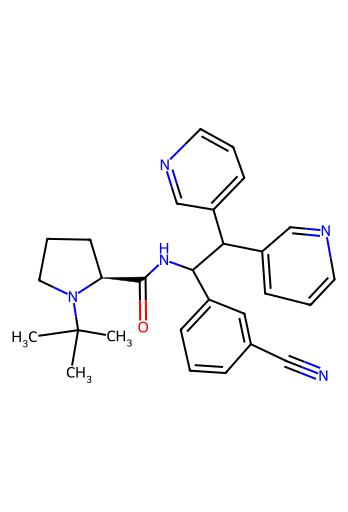 CC(C)(C)N1CCC[C@H]1C(=O)NC(c1cccc(C#N)c1)C(c1cccnc1)c1cccnc1